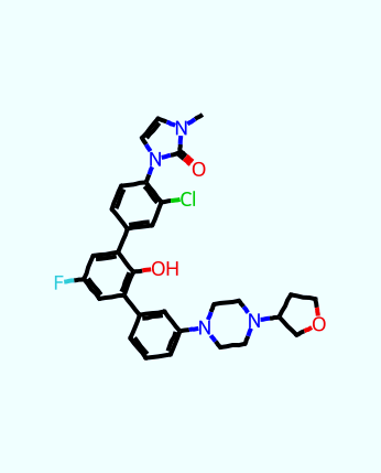 Cn1ccn(-c2ccc(-c3cc(F)cc(-c4cccc(N5CCN(C6CCOC6)CC5)c4)c3O)cc2Cl)c1=O